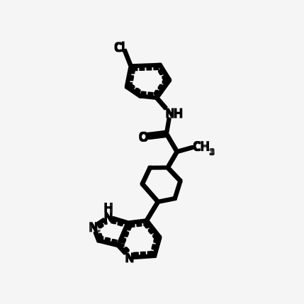 CC(C(=O)Nc1ccc(Cl)cc1)C1CCC(c2ccnc3cn[nH]c23)CC1